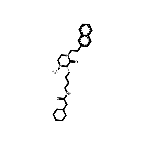 CN1CCN(CCc2ccc3ccccc3c2)C(=O)[C@@H]1CCCCNC(=O)CC1CCCCC1